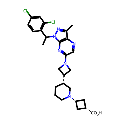 Cc1nn(C(C)c2ccc(Cl)cc2Cl)c2nc(N3CC([C@H]4CCCN([C@H]5C[C@@H](C(=O)O)C5)C4)C3)cnc12